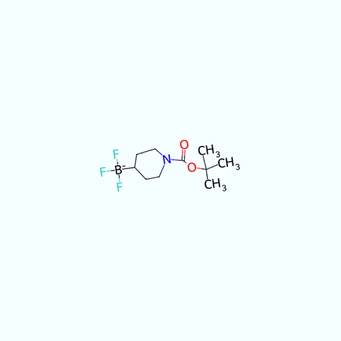 CC(C)(C)OC(=O)N1CCC([B-](F)(F)F)CC1